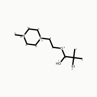 CCC(C)(C)C(O)OCCN1CCN(C)CC1